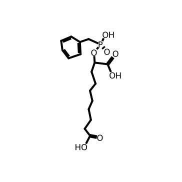 O=C(O)CCCCCCCC(OP(=O)(O)Cc1ccccc1)C(=O)O